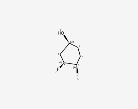 O[C@H]1CC[C@@H](F)[C@@H](F)C1